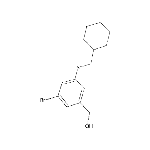 OCc1cc(Br)cc(SCC2CCCCC2)c1